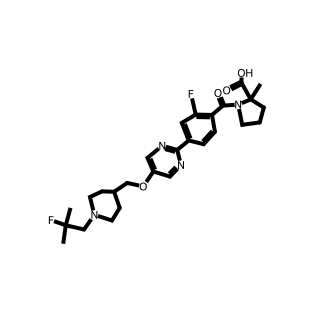 CC(C)(F)CN1CCC(COc2cnc(-c3ccc(C(=O)N4CCCC4(C)C(=O)O)c(F)c3)nc2)CC1